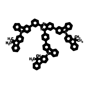 CC1(C)c2ccccc2-c2ccc(-n3c4ccccc4c4cc(-c5ccc(-c6nc(-c7cccc(-c8ccc9c(c8)c8ccccc8n9-c8ccc9c(c8)C(C)(C)c8ccccc8-9)c7)nc7ccc(-c8ccc9c(c8)c8ccccc8n9-c8ccc9c(c8)C(C)(C)c8ccccc8-9)cc67)cc5)ccc43)cc21